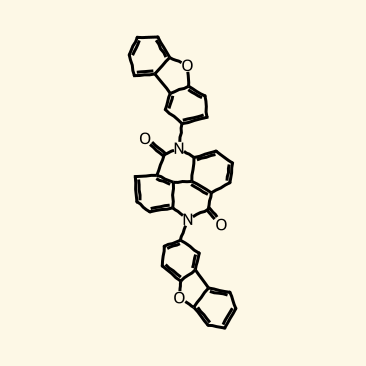 O=c1c2cccc3c2c2c(cccc2n1-c1ccc2oc4ccccc4c2c1)c(=O)n3-c1ccc2oc3ccccc3c2c1